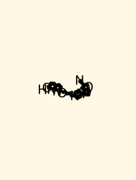 N#CC1COc2cccc(N3CCN(CCCCOc4ccc5ccc(=O)[nH]c5n4)CC3)c2C1